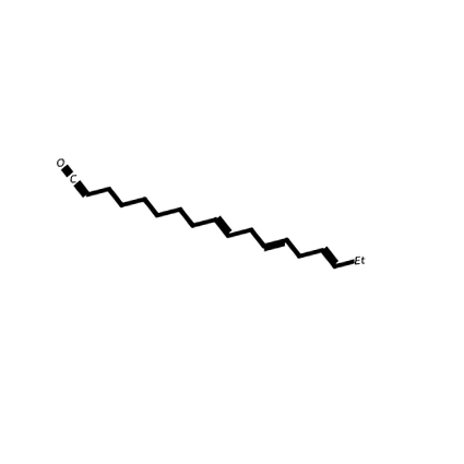 CCC=CCC=CCC=CCCCCCCC=C=O